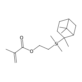 C=C(C)C(=O)OCC[Si](C)(C)C1(C)CCC2CC1C2(C)C